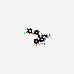 COc1c(O)ccc2c1-c1ccc3c(c1/C(=C/c1cccc(Oc4ccc(Cl)c(Cl)c4)c1)O2)C(C)=CC(C)(C)N3